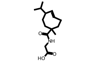 CC(C)C1/C=C/CCC(C)(C(=O)NCC(=O)O)CC1